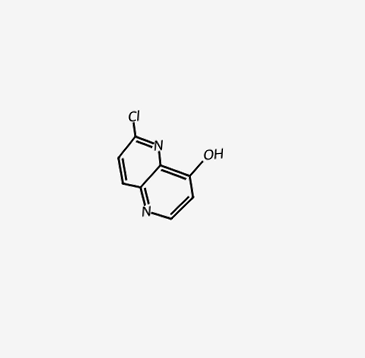 Oc1ccnc2ccc(Cl)nc12